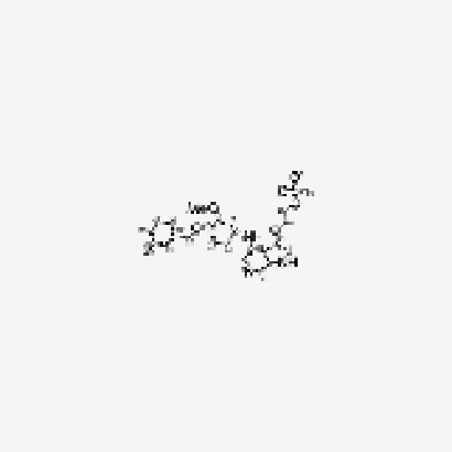 COc1cc(Nc2cncc3[nH]nc(OCCOS(C)(=O)=O)c23)ccc1OCc1cccc(F)c1